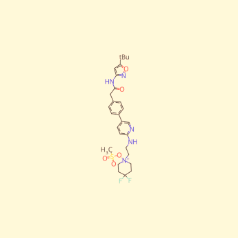 CC(C)(C)c1cc(NC(=O)Cc2ccc(-c3ccc(NCC[N+]4(OS(C)(=O)=O)CCC(F)(F)CC4)nc3)cc2)no1